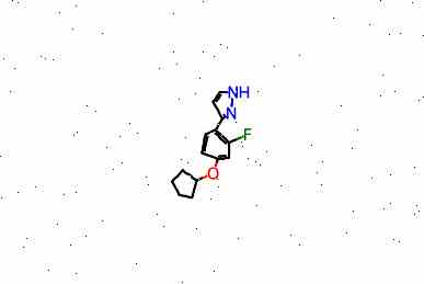 Fc1cc(OC2CCCC2)ccc1-c1cc[nH]n1